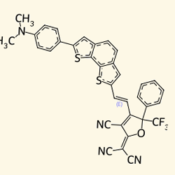 CN(C)c1ccc(-c2cc3ccc4cc(/C=C/C5=C(C#N)C(=C(C#N)C#N)OC5(c5ccccc5)C(F)(F)F)sc4c3s2)cc1